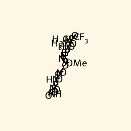 COc1cc2c(Cc3ccc(NC(=O)c4c(C)n(C)c5ccc(OC(F)(F)F)cc5c4=O)cc3F)ncnc2cc1OCCCC(=O)N1CCC[C@H](C(=O)Nc2ccc3c(c2)CN(C2CCC(=O)NC2=O)C3=O)C1